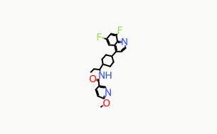 CCC(NC(=O)c1ccc(OC)nc1)C1CCC(c2ccnc3c(F)cc(F)cc23)CC1